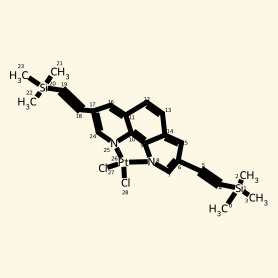 C[Si](C)(C)C#CC1=C[N]2c3c4c(ccc3=C1)=CC(C#C[Si](C)(C)C)=C[N]4[Pt]2([Cl])[Cl]